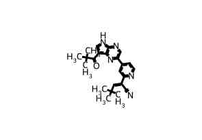 CC(C)(C)C=C(C#N)c1cc(-c2cnc3[nH]cc(C(=O)C(C)(C)C)c3n2)ccn1